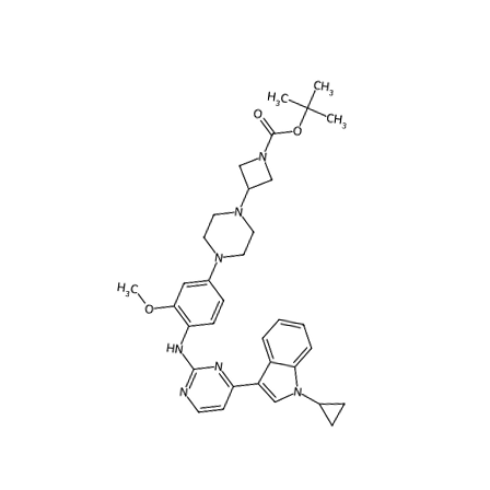 COc1cc(N2CCN(C3CN(C(=O)OC(C)(C)C)C3)CC2)ccc1Nc1nccc(-c2cn(C3CC3)c3ccccc23)n1